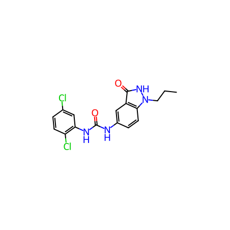 CCCn1[nH]c(=O)c2cc(NC(=O)Nc3cc(Cl)ccc3Cl)ccc21